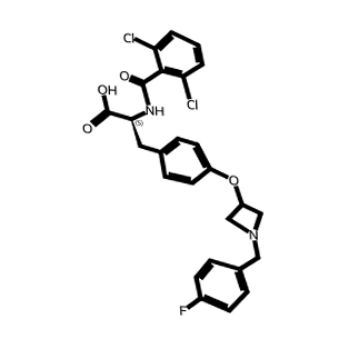 O=C(N[C@@H](Cc1ccc(OC2CN(Cc3ccc(F)cc3)C2)cc1)C(=O)O)c1c(Cl)cccc1Cl